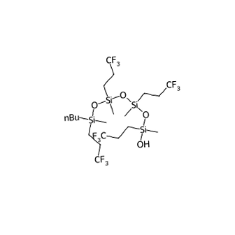 CCCC[Si](C)(CCC(F)(F)F)O[Si](C)(CCC(F)(F)F)O[Si](C)(CCC(F)(F)F)O[Si](C)(O)CCC(F)(F)F